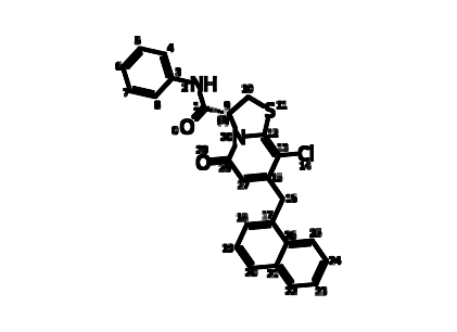 O=C(Nc1ccccc1)[C@@H]1CSc2c(Cl)c(Cc3cccc4ccccc34)cc(=O)n21